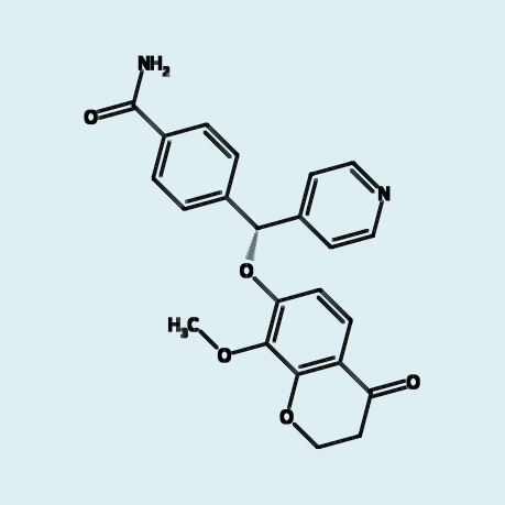 COc1c(O[C@@H](c2ccncc2)c2ccc(C(N)=O)cc2)ccc2c1OCCC2=O